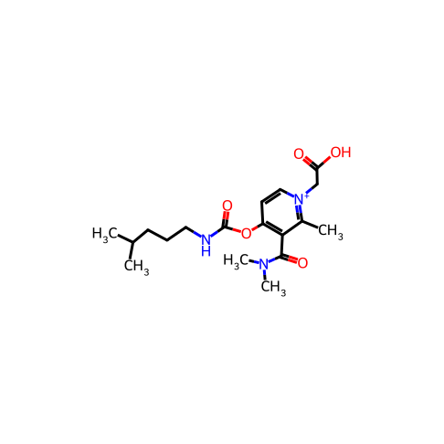 Cc1c(C(=O)N(C)C)c(OC(=O)NCCCC(C)C)cc[n+]1CC(=O)O